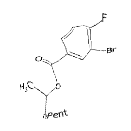 CCCCCC(C)OC(=O)c1ccc(F)c(Br)c1